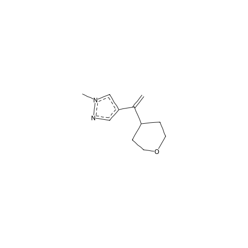 C=C(c1cnn(C)c1)C1CCOCC1